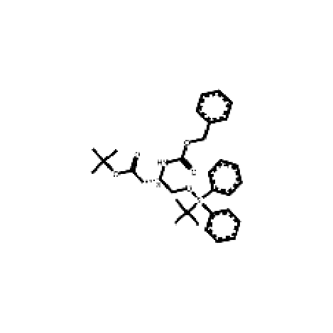 CC(C)(C)OC(=O)C[C@@H](CO[Si](c1ccccc1)(c1ccccc1)C(C)(C)C)NC(=O)OCc1ccccc1